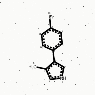 Cc1c[nH]cc1-c1ccc(C(C)C)cc1